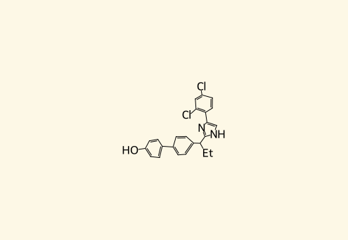 CCC(c1ccc(-c2ccc(O)cc2)cc1)c1nc(-c2ccc(Cl)cc2Cl)c[nH]1